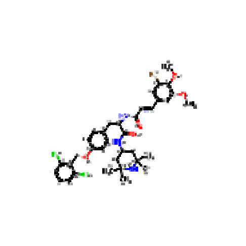 COc1cc(/C=C/C(=O)NC(Cc2ccc(OCc3c(Cl)cccc3Cl)cc2)C(=O)NC2CC(C)(C)NC(C)(C)C2)cc(Br)c1OC